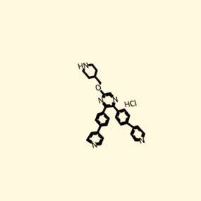 Cl.c1cc(-c2ccc(-c3ncc(OCC4CCNCC4)nc3-c3ccc(-c4ccncc4)cc3)cc2)ccn1